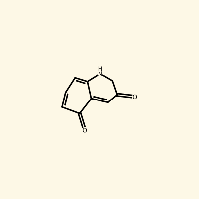 O=C1C=C2C(=O)C=CC=C2NC1